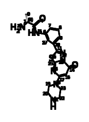 C[C@@H](N)C(=O)Nc1cccc(-c2nn3c(=O)cc(N4CCNCC4)nc3s2)c1